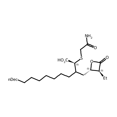 CCCCCCCCCCCCCCCCCC(C[C@@H]1OC(=O)[C@H]1CC)[C@H](SCC(N)=O)C(=O)O